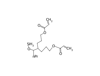 C=CC(=O)OCCCC(CCCOC(=O)C=C)C(CCC)O[SiH3]